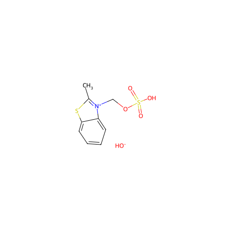 Cc1sc2ccccc2[n+]1COS(=O)(=O)O.[OH-]